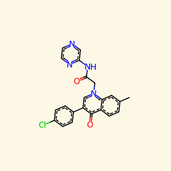 Cc1ccc2c(=O)c(-c3ccc(Cl)cc3)cn(CC(=O)Nc3cnccn3)c2c1